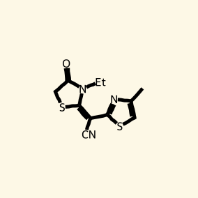 CCN1C(=O)CSC1=C(C#N)c1nc(C)cs1